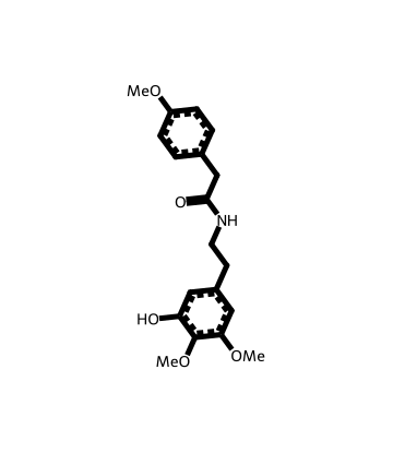 COc1ccc(CC(=O)NCCc2cc(O)c(OC)c(OC)c2)cc1